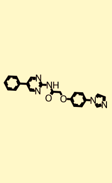 O=C(COc1ccc(-n2ccnc2)cc1)Nc1ncc(-c2ccccc2)cn1